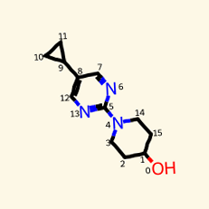 OC1CCN(c2ncc(C3CC3)cn2)CC1